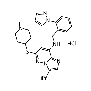 CC(C)c1cnc2c(NCc3ccccc3-n3cccn3)cc(SC3CCNCC3)nn12.Cl